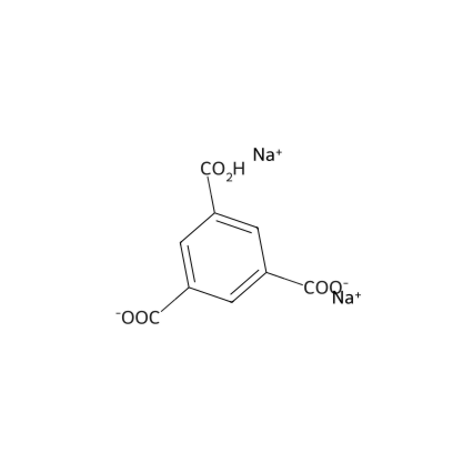 O=C([O-])c1cc(C(=O)[O-])cc(C(=O)O)c1.[Na+].[Na+]